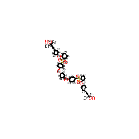 CCC(O)(C#Cc1ccc(Oc2ccccc2S(=O)(=O)c2ccc(Oc3ccc(Oc4ccc(S(=O)(=O)c5ccccc5Oc5ccc(C#CC(O)(CC)CC)cc5)cc4)cc3)cc2)cc1)CC